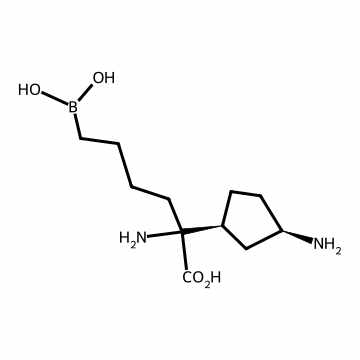 N[C@@H]1CC[C@H](C(N)(CCCCB(O)O)C(=O)O)C1